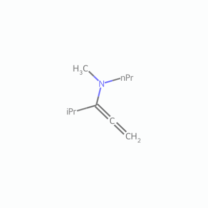 C=C=C(C(C)C)N(C)CCC